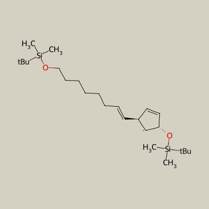 CC(C)(C)[Si](C)(C)OCCCCCCC=C[C@@H]1[CH][C@@H](O[Si](C)(C)C(C)(C)C)C=C1